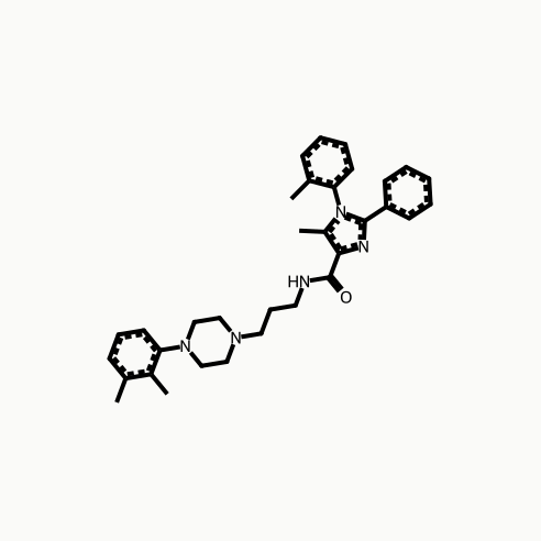 Cc1ccccc1-n1c(-c2ccccc2)nc(C(=O)NCCCN2CCN(c3cccc(C)c3C)CC2)c1C